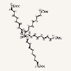 CCCCCCCCCCCCCCCCCC[O][Zr](=[O])([CH2]CCCCCCCCCCCCCCCCC)([CH2]CCCCCCCCCCCCCCCCC)[O]CCCCCCCCCCCCCCCCCC